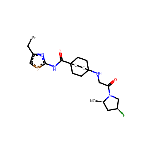 CC(C)Cc1csc(NC(=O)C23CCC(NCC(=O)N4C[C@@H](F)C[C@H]4C#N)(CC2)CC3)n1